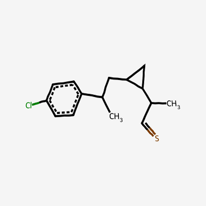 CC(CC1CC1C(C)C=S)c1ccc(Cl)cc1